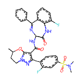 CC1CCn2nc(-c3ccc(S(=O)(=O)N(C)C)cc3F)c(C(=O)NC3N=C(c4ccccc4)c4cccc(F)c4NC3=O)c2O1